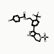 CS(=O)(=O)N1CCc2[nH]nc(-c3ccc(C(F)(F)F)c(CNC(=O)c4ccc(F)cc4)c3)c2C1